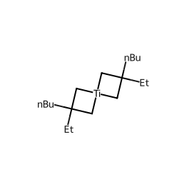 CCCCC1(CC)[CH2][Ti]2([CH2]1)[CH2]C(CC)(CCCC)[CH2]2